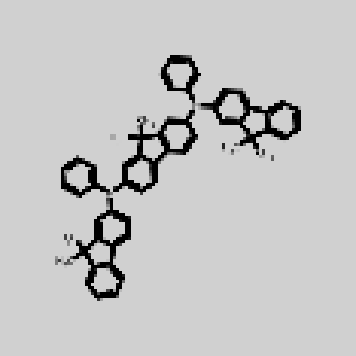 CC1(C)c2ccccc2-c2ccc(N(c3ccccc3)c3ccc4c(c3)C(C)(C)c3cc(N(c5ccccc5)c5ccc6c(c5)C(C)(C)c5ccccc5-6)ccc3-4)cc21